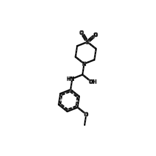 COc1cccc(NC(O)N2CCS(=O)(=O)CC2)c1